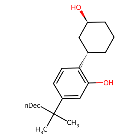 CCCCCCCCCCC(C)(C)c1ccc([C@H]2CCC[C@H](O)C2)c(O)c1